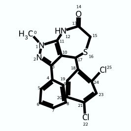 Cn1nc(-c2ccccc2)c2c1NC(=O)CSC2c1ccc(Cl)cc1Cl